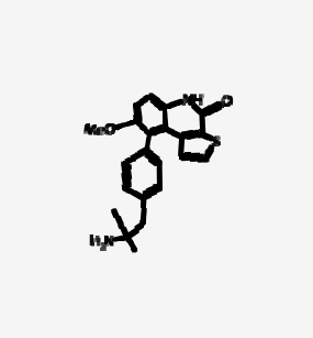 COc1ccc2[nH]c(=O)c3sccc3c2c1-c1ccc(CC(C)(C)N)cc1